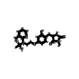 [2H]C([2H])(C)N(CCOc1ccc(CC2SC(=O)N(C)C2=O)c(C)c1)c1ncccc1C